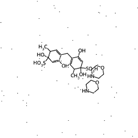 C1COCCN1.C1COCCN1.CC1C=C(CC2=CC(C)C(O)(S(=O)(=O)O)C=C2O)C(O)=CC1(O)S(=O)(=O)O